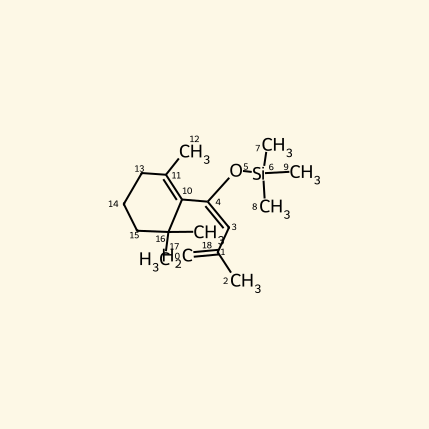 C=C(C)/C=C(/O[Si](C)(C)C)C1=C(C)CCCC1(C)C